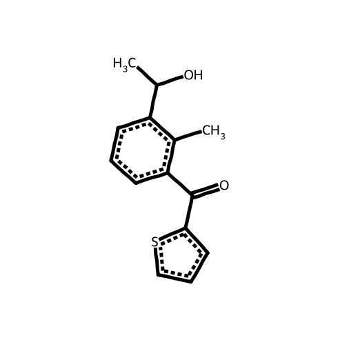 Cc1c(C(=O)c2cccs2)cccc1C(C)O